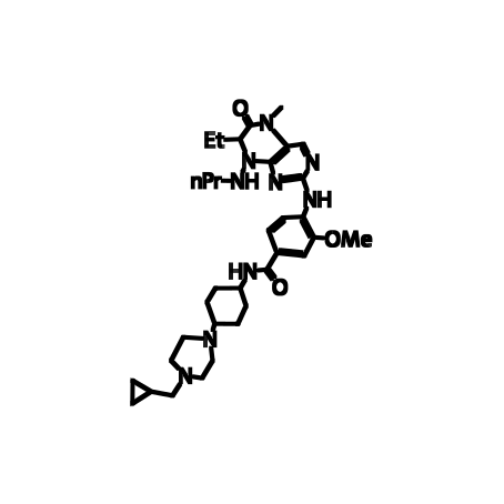 CCCNN1c2nc(Nc3ccc(C(=O)NC4CCC(N5CCN(CC6CC6)CC5)CC4)cc3OC)ncc2N(C)C(=O)C1CC